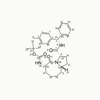 Cc1ccc([C@@H](NC(=O)[C@@H]2CC[C@@H]3CCCC[C@H](NC(=O)OC(C)(C)C)C(=O)N32)c2ccccc2)cc1